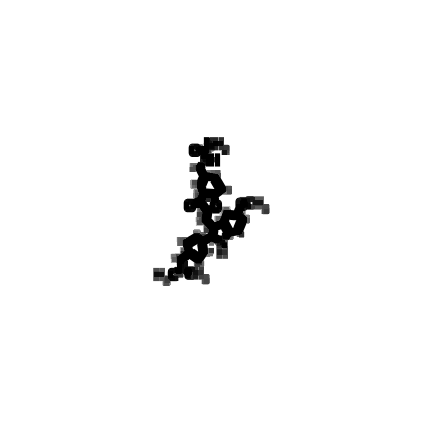 COc1ccc2[nH]c(-c3ccc(CN(C)C)cc3)c(C=C3Oc4ccc(CNC(N)=O)cc4C3=O)c2c1